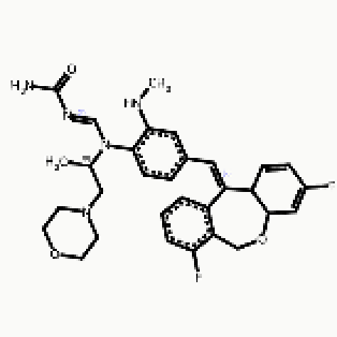 CNc1cc(/C=C2\c3cccc(F)c3COC3C=C(F)C=CC23)ccc1N(/C=N/C(N)=O)[C@H](C)CN1CCOCC1